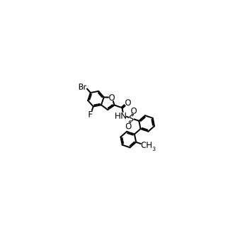 Cc1ccccc1-c1ccccc1S(=O)(=O)NC(=O)c1cc2c(F)cc(Br)cc2o1